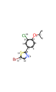 CC(C)Oc1ccc(-c2ncc(Br)s2)cc1Cl